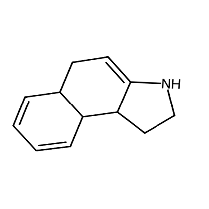 C1=CC2CC=C3NCCC3C2C=C1